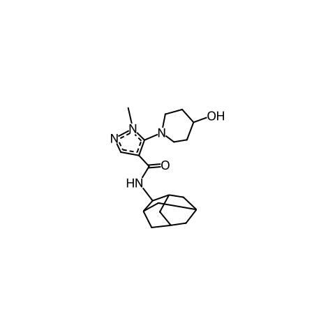 Cn1ncc(C(=O)NC2C3CC4CC(C3)CC2C4)c1N1CCC(O)CC1